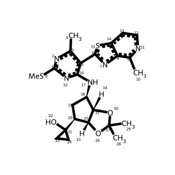 CSc1nc(C)c(-c2nc3c(C)nccc3s2)c(N[C@@H]2C[C@H](C3(O)CC3)[C@H]3OC(C)(C)O[C@H]32)n1